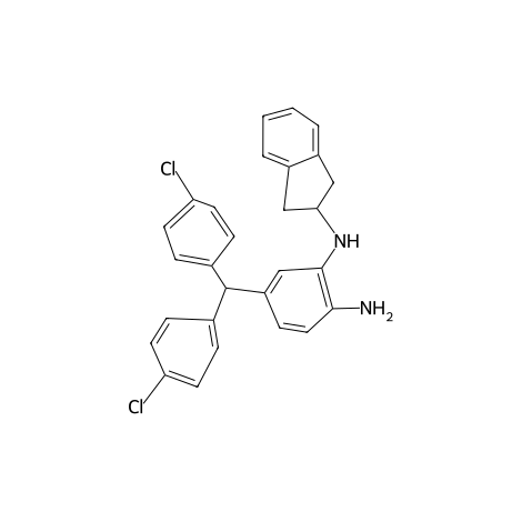 Nc1ccc(C(c2ccc(Cl)cc2)c2ccc(Cl)cc2)cc1NC1Cc2ccccc2C1